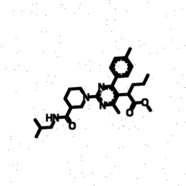 CCCC(C(=O)OC)c1c(C)nc(N2CCCC(C(=O)NCC(C)C)C2)nc1-c1ccc(C)cc1